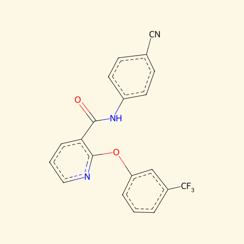 N#Cc1ccc(NC(=O)c2cccnc2Oc2cccc(C(F)(F)F)c2)cc1